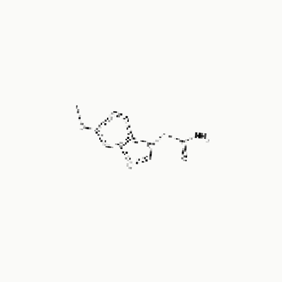 COc1ccc2c(CC(N)=O)coc2c1